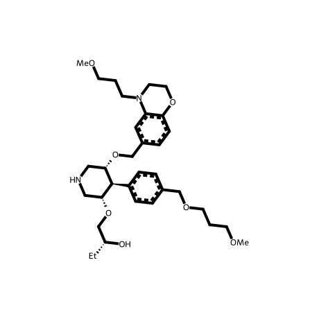 CC[C@@H](O)CO[C@@H]1CNC[C@H](OCc2ccc3c(c2)N(CCCOC)CCO3)[C@H]1c1ccc(COCCCOC)cc1